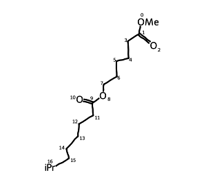 COC(=O)CCCCCOC(=O)CCCCCC(C)C